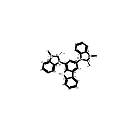 C[C@@H]1N(C)c2ccccc2N1c1cc(N2c3ccccc3N(C)[C@@H]2C)c2oc3ccccc3c2c1